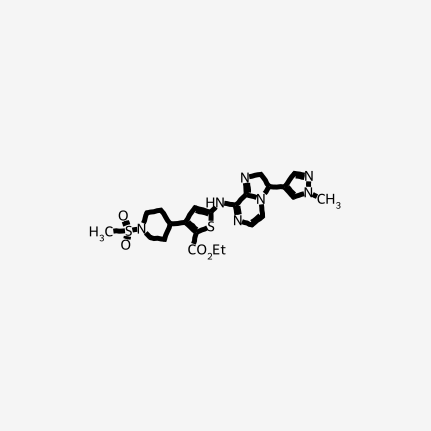 CCOC(=O)c1sc(NC2=NC=CN3C2=NCC3c2cnn(C)c2)cc1C1CCN(S(C)(=O)=O)CC1